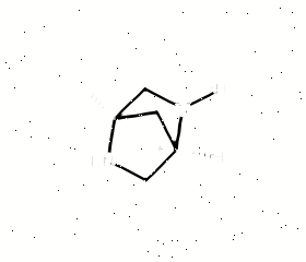 [2H]N1C[C@H]2C[C@@H]1CN2